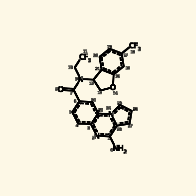 Nc1nc2ccc(C(=O)N(CC(F)(F)F)C3COc4cc(C(F)(F)F)ccc43)cc2n2cccc12